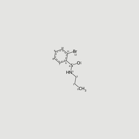 CCCN[S+]([O-])c1ccccc1Br